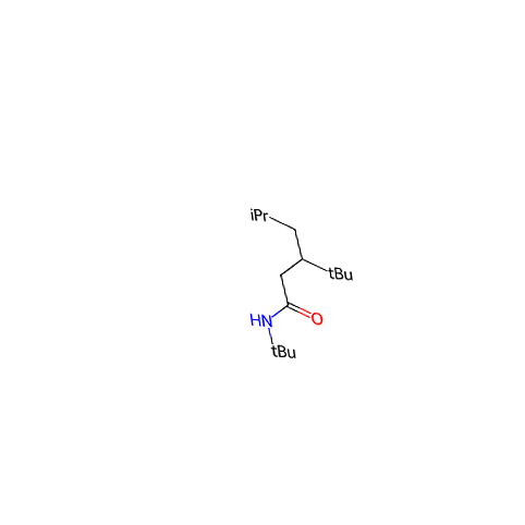 CC(C)CC(CC(=O)NC(C)(C)C)C(C)(C)C